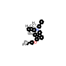 CC(C)CC(c1ccc(Oc2ccc(C3(c4ccc(C(C)(C)C)cc4)c4ccccc4-c4ccc(N(c5ccc(-c6ccccc6)cc5)c5ccc6c(c5)C(C)(C)c5ccccc5-6)cc43)cc2)cc1)C(C)C